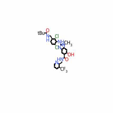 Cn1c(Nc2c(Cl)ccc(CNC(=O)C(C)(C)C)c2Cl)nc2cc(C(=O)NCc3ncccc3C(F)(F)F)c(O)cc21